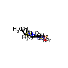 CCCC(=O)C[S+]([O-])NC(CSC/C=C(\C)CC/C=C(\C)CC/C=C(C)/C=C(/C)CSNC(C=O)CSC/C=C(\C)CC/C=C(\C)CCC=C(C)C)C(C)=O